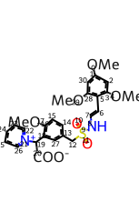 COc1cc(OC)c(C=CNS(=O)(=O)Cc2ccc(OC)c(C(C(=O)[O-])[n+]3ccccc3)c2)c(OC)c1